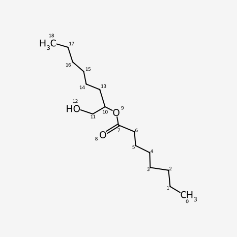 CCCCCCCC(=O)OC(CO)CCCCCC